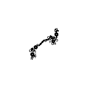 Cc1ncsc1-c1ccc(CNC(=O)[C@@H]2C[C@@H](O)CN2C(=O)[C@@H](NC(=O)CCOCC#CC#CCOc2ccc(N3C(=S)N(c4ccc(C#N)c(C(F)(F)F)c4)C(=O)C3(C)C)cc2)C(C)(C)C)cc1